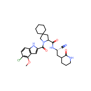 COc1c(Cl)ccc2[nH]c(C(=O)N3CC4(CCCCC4)CC3C(=O)N[C@H](C#N)CC3CCCNC3=O)cc12